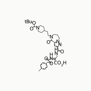 Cc1ccc(S(=O)(=O)N[C@@H](CNC(=O)c2cc3n(n2)CCCN(CCC2CCN(C(=O)OC(C)(C)C)CC2)C3=O)C(=O)O)cc1